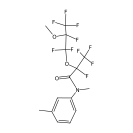 COC(F)(C(F)(F)F)C(F)(F)OC(F)(C(=O)N(C)c1cccc(C)c1)C(F)(F)F